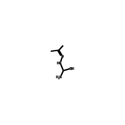 CC(C)=NNC(N)O